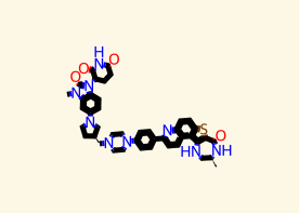 C[C@@H]1CNc2c(sc3ccc4nc(-c5ccc(N6CCN(C[C@@H]7CCN(c8ccc9c(c8)n(C)c(=O)n9C8CCC(=O)NC8=O)C7)CC6)cc5)ccc4c23)C(=O)N1